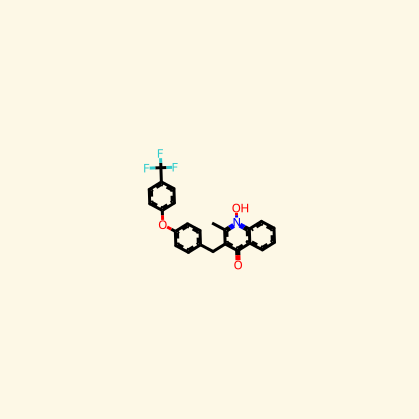 Cc1c(Cc2ccc(Oc3ccc(C(F)(F)F)cc3)cc2)c(=O)c2ccccc2n1O